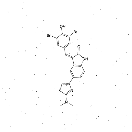 CN(C)c1nc(-c2ccc3c(c2)C(=Cc2cc(Br)c(O)c(Br)c2)C(=O)N3)cs1